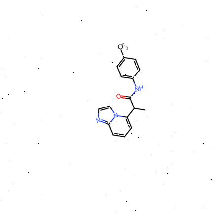 CC(C(=O)Nc1ccc(C(F)(F)F)cc1)c1cccc2nccn12